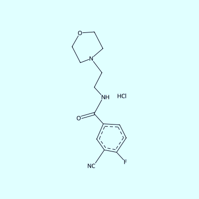 Cl.N#Cc1cc(C(=O)NCCN2CCOCC2)ccc1F